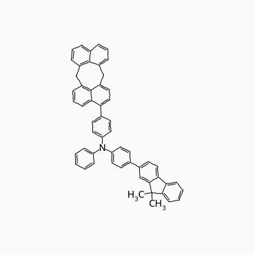 CC1(C)c2ccccc2-c2ccc(-c3ccc(N(c4ccccc4)c4ccc(-c5ccc6c7c(cccc57)Cc5cccc7cccc(c57)C6)cc4)cc3)cc21